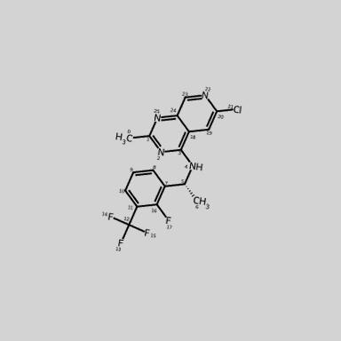 Cc1nc(N[C@H](C)c2cccc(C(F)(F)F)c2F)c2cc(Cl)ncc2n1